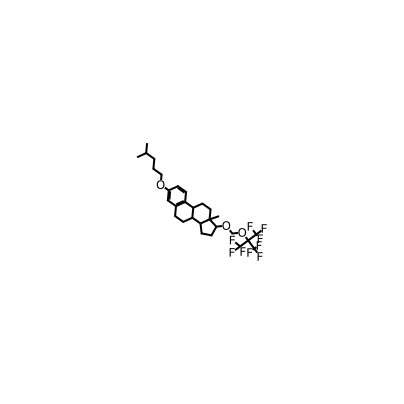 CC(C)CCCOc1ccc2c(c1)CCC1C2CCC2(C)C(OCOC(C(F)(F)F)(C(F)(F)F)C(F)(F)F)CCC12